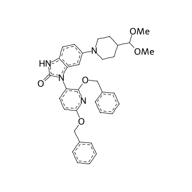 COC(OC)C1CCN(c2ccc3[nH]c(=O)n(-c4ccc(OCc5ccccc5)nc4OCc4ccccc4)c3c2)CC1